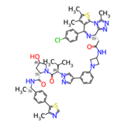 Cc1ncsc1-c1ccc([C@H](C)NC(=O)[C@@H]2C[C@@H](O)CN2C(=O)[C@@H](C(C)C)n2cc(-c3cccc(N4CC(NC(=O)C[C@@H]5N=C(c6ccc(Cl)cc6)c6c(sc(C)c6C)-n6c(C)nnc65)C4)c3)cn2)cc1